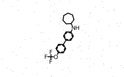 FC(F)(F)Oc1ccc(-c2ccc(NC3CCCCCC3)cc2)cc1